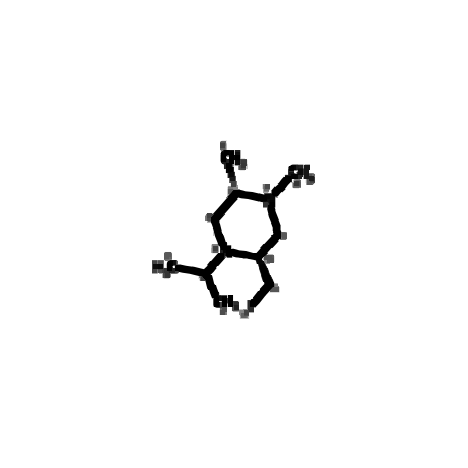 CC(C)N1C[C@H](C)N(C)C[C@H]1CI